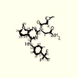 COCC(=O)N(CC(N)=O)c1nc(Nc2ccc(C(F)(F)F)cc2)c2ccn(C)c2n1